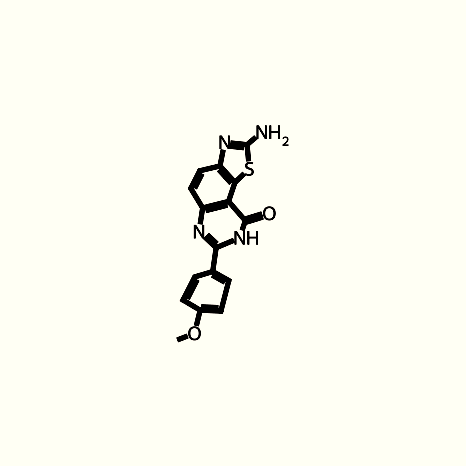 COc1ccc(-c2nc3ccc4nc(N)sc4c3c(=O)[nH]2)cc1